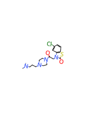 CN(C)CCCN1CCN(C(=O)Cn2c(=O)sc3ccc(Cl)cc32)CC1